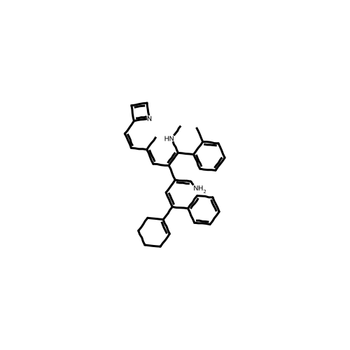 CN/C(=C(\C=C(C)\C=C/C1=NC=C1)C(/C=C(/C1=CCCCC1)c1ccccc1)=C/N)c1ccccc1C